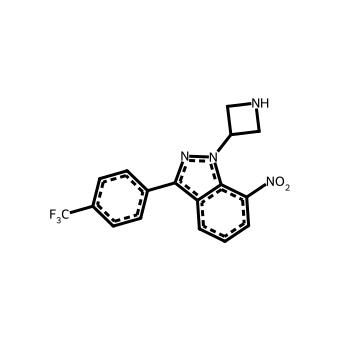 O=[N+]([O-])c1cccc2c(-c3ccc(C(F)(F)F)cc3)nn(C3CNC3)c12